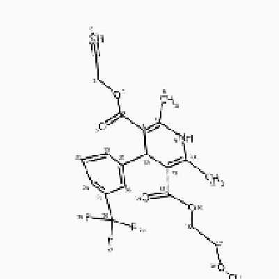 C#CCOC(=O)C1=C(C)NC(C)=C(C(=O)OCCOC)C1c1cccc(C(F)(F)F)c1